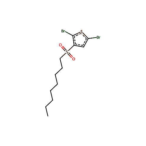 CCCCCCCCS(=O)(=O)c1cc(Br)sc1Br